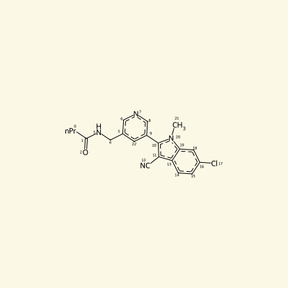 CCCC(=O)NCc1cncc(-c2c(C#N)c3ccc(Cl)cc3n2C)c1